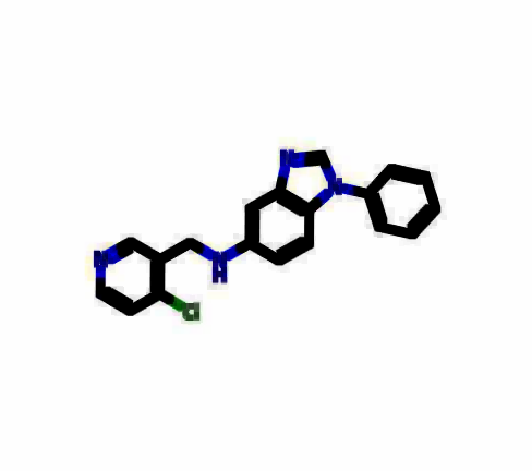 Clc1ccncc1CNc1ccc2c(c1)ncn2-c1ccccc1